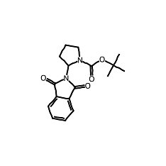 CC(C)(C)OC(=O)N1CCCC1N1C(=O)c2ccccc2C1=O